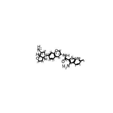 Cc1ccc2c(N)c(C(=O)N[C@H]3COc4cc(N5C[C@H](N)[C@H]6OCC[C@H]65)ccc4C3)sc2n1